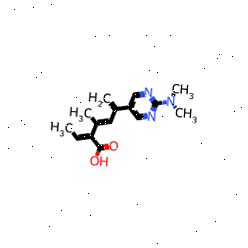 C=C(/C=C(C)/C(=C\C)C(=O)O)c1cnc(N(C)C)nc1